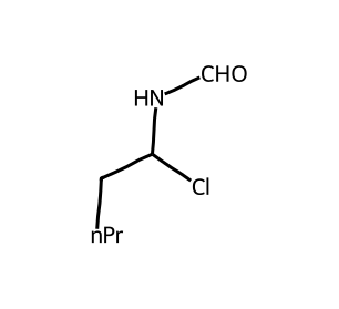 CCCCC(Cl)NC=O